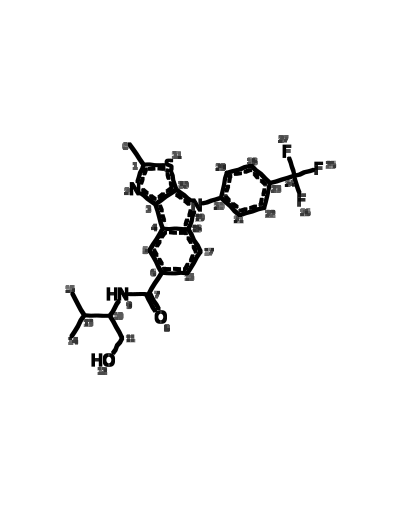 Cc1nc2c3cc(C(=O)NC(CO)C(C)C)ccc3n(-c3ccc(C(F)(F)F)cc3)c2s1